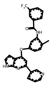 Cc1ccc(Oc2cc(-c3cccnc3)nc3[nH]ccc23)cc1NC(=O)c1cccc(C(F)(F)F)c1